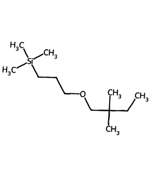 CCC(C)(C)COCCC[Si](C)(C)C